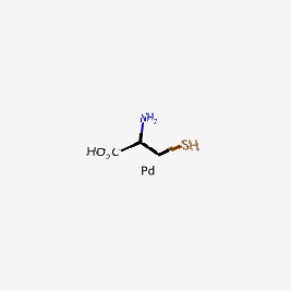 NC(CS)C(=O)O.[Pd]